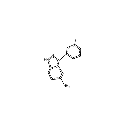 Nc1ccc2[nH]nc(-c3cccc(F)c3)c2c1